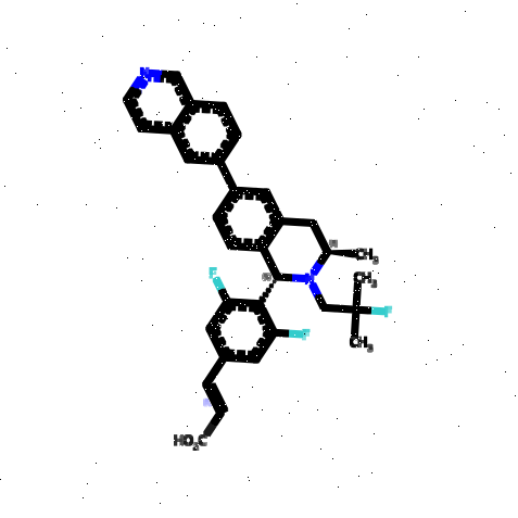 C[C@@H]1Cc2cc(-c3ccc4cnccc4c3)ccc2[C@@H](c2c(F)cc(/C=C/C(=O)O)cc2F)N1CC(C)(C)F